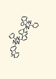 c1ccc(-c2nc(-c3ccc4sc5ccccc5c4c3)nc(-c3cccc4sc5c(-c6nc(-c7ccccc7)nc7c6oc6ccccc67)cccc5c34)n2)cc1